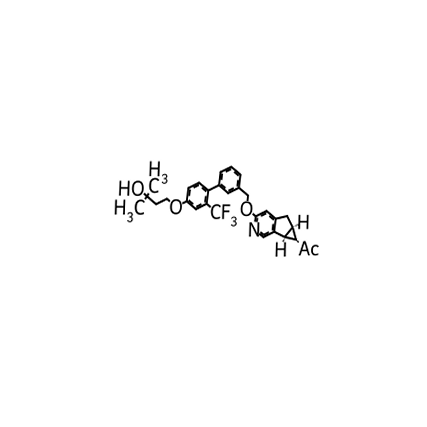 CC(=O)[C@H]1[C@@H]2Cc3cc(OCc4cccc(-c5ccc(OCCC(C)(C)O)cc5C(F)(F)F)c4)ncc3[C@@H]21